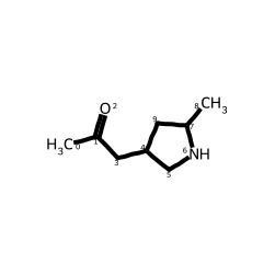 CC(=O)CC1CNC(C)C1